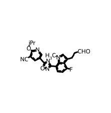 CC(C)Oc1ncc(-c2nc(-c3ccc(F)c4c(CCC=O)cn(C)c34)no2)cc1C#N